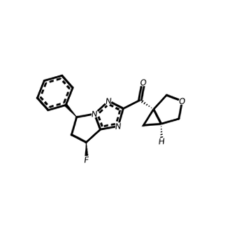 O=C(c1nc2n(n1)[C@H](c1ccccc1)C[C@@H]2F)[C@]12COC[C@H]1C2